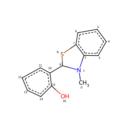 CN1c2ccccc2SC1c1ccccc1O